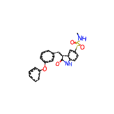 CNS(=O)(=O)c1ccc2c(c1)C(=Cc1cccc(Oc3ccccc3)c1)C(=O)N2